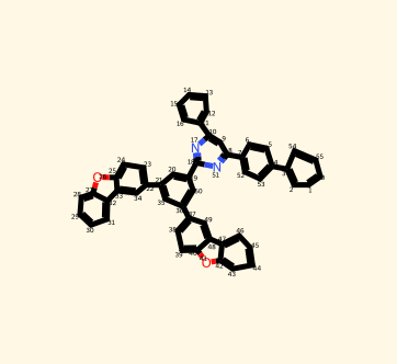 c1ccc(-c2ccc(-c3cc(-c4ccccc4)nc(-c4cc(-c5ccc6oc7ccccc7c6c5)cc(-c5ccc6oc7ccccc7c6c5)c4)n3)cc2)cc1